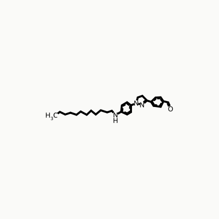 CCCCCCCCCCCCNc1ccc(N2CCC(c3ccc(C=O)cc3)=N2)cc1